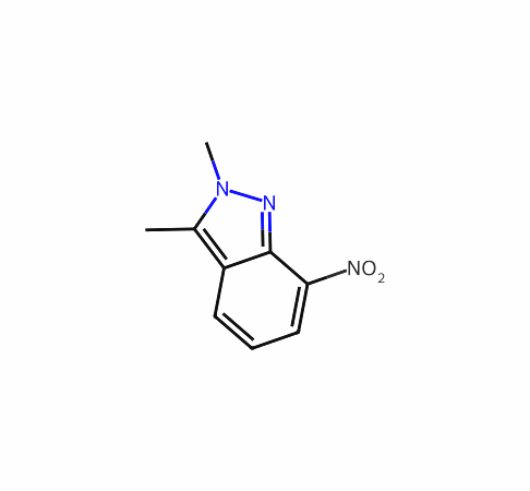 Cc1c2cccc([N+](=O)[O-])c2nn1C